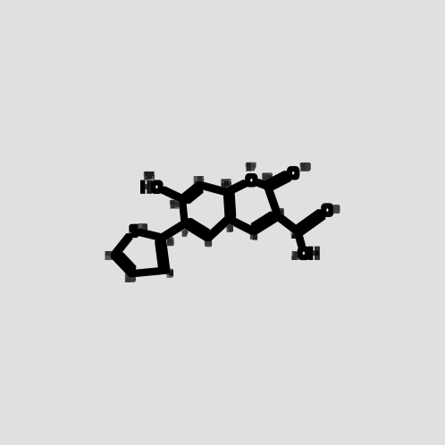 O=C(O)c1cc2cc(-c3cccs3)c(O)cc2oc1=O